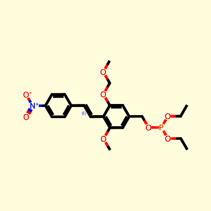 CCOP(OCC)OCc1cc(OC)c(/C=C/c2ccc([N+](=O)[O-])cc2)c(OCOC)c1